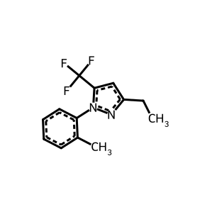 CCc1cc(C(F)(F)F)n(-c2ccccc2C)n1